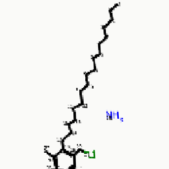 CCCCCCCCCCCCCCCCCCc1c(CCl)ccc(C)c1C.N